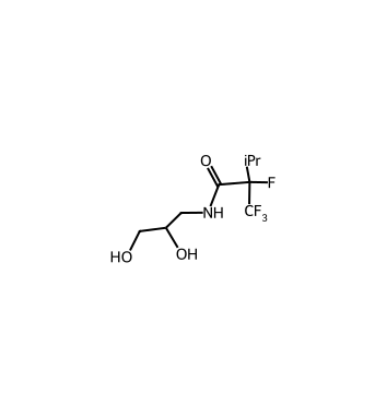 CC(C)C(F)(C(=O)NCC(O)CO)C(F)(F)F